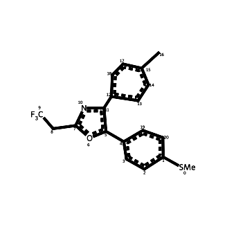 CSc1ccc(-c2oc(CC(F)(F)F)nc2-c2ccc(C)cc2)cc1